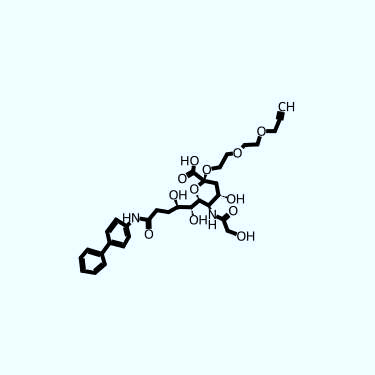 C#CCOCCOCCO[C@@]1(C(=O)O)C[C@H](O)[C@@H](NC(=O)CO)[C@H]([C@H](O)[C@H](O)CCC(=O)Nc2ccc(-c3ccccc3)cc2)O1